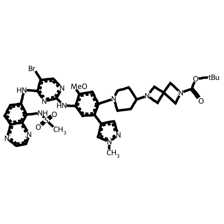 COc1cc(N2CCC(N3CC4(CN(C(=O)OC(C)(C)C)C4)C3)CC2)c(-c2cnn(C)c2)cc1Nc1ncc(Br)c(Nc2ccc3nccnc3c2NS(C)(=O)=O)n1